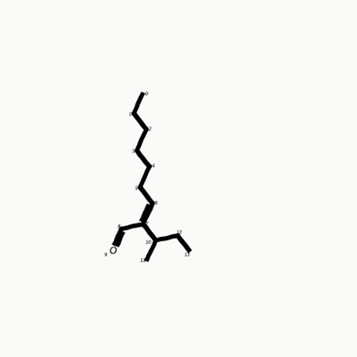 CCCCCC/C=C(\C=O)C(C)CC